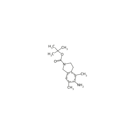 Cc1cc2c(c(C)c1N)CCN(C(=O)OC(C)(C)C)C2